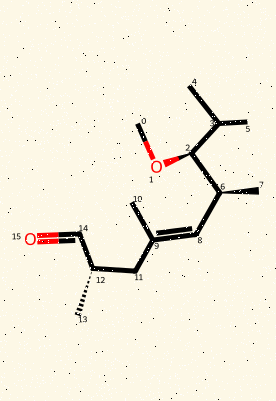 CO[C@@H](C(C)C)[C@@H](C)/C=C(\C)C[C@H](C)C=O